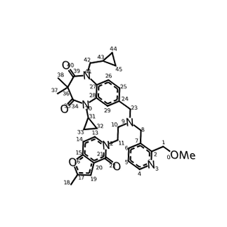 COCc1ncccc1CN(CCn1ccc2oc(C)cc2c1=O)Cc1ccc2c(c1)N(C1CC1)C(=O)C(C)(C)C(=O)N2CC1CC1